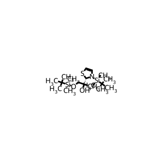 CC(O)(CO[Si](C)(C)C(C)(C)C)[C@@H]1SC=CN1[Si](C)(C)C(C)(C)C